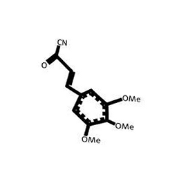 COc1cc(/C=C/C(=O)C#N)cc(OC)c1OC